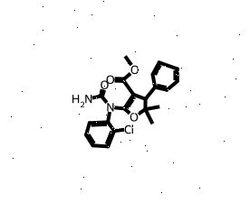 COC(=O)C1=C(N(C(N)=O)c2ccccc2Cl)OC(C)(C)C1c1ccccc1